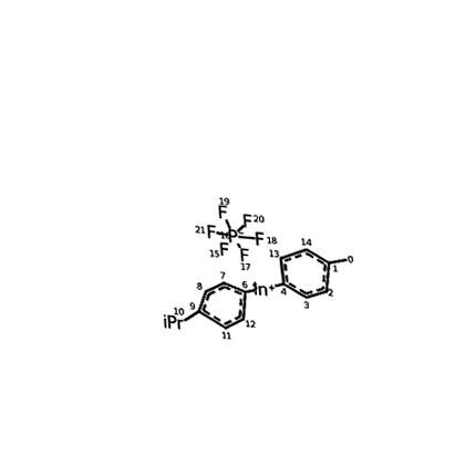 Cc1cc[c]([In+][c]2ccc(C(C)C)cc2)cc1.F[P-](F)(F)(F)(F)F